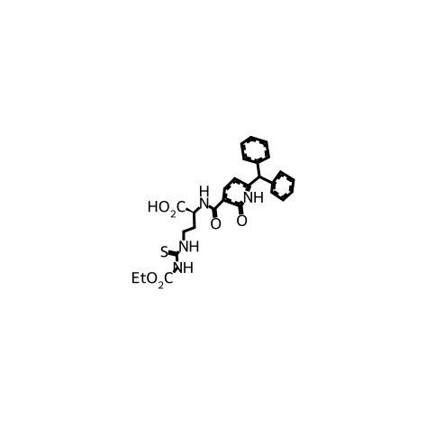 CCOC(=O)NC(=S)NCC[C@H](NC(=O)c1ccc(C(c2ccccc2)c2ccccc2)[nH]c1=O)C(=O)O